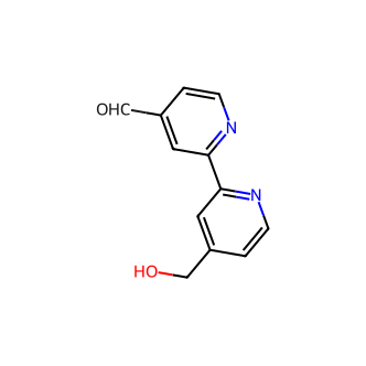 O=Cc1ccnc(-c2cc(CO)ccn2)c1